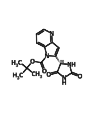 CC(C)(C)OC(=O)n1c([C@@H]2NC(=O)NC2=O)cc2ncccc21